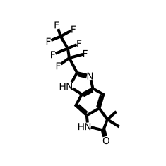 CC1(C)C(=O)Nc2cc3[nH]c(C(F)(F)C(F)(F)C(F)(F)F)nc3cc21